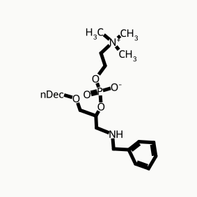 CCCCCCCCCCOCC(CNCc1ccccc1)OP(=O)([O-])OCC[N+](C)(C)C